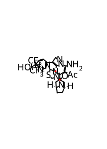 CC(=O)c1c(C2C[C@H]3CC[C@@H](C2)N3C(=O)N2CSC(N)C2)nc2c(-c3ccc(C(O)(C(F)(F)F)C(F)(F)F)nc3)cnn2c1N